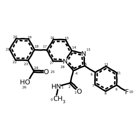 CNC(=O)c1c(-c2ccc(F)cc2)nc2ccc(-c3ccccc3C(=O)O)cn12